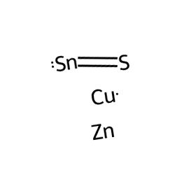 [Cu].[S]=[Sn].[Zn]